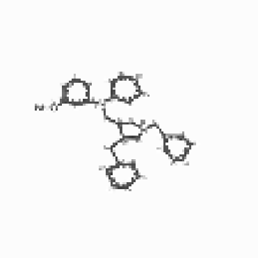 COc1cccc(N(CC2CN(Cc3ccccc3)CC2Cc2ccccc2)c2ccccc2)c1